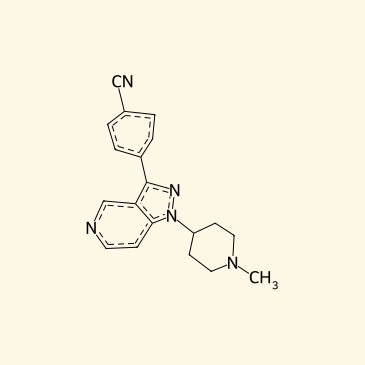 CN1CCC(n2nc(-c3ccc(C#N)cc3)c3cnccc32)CC1